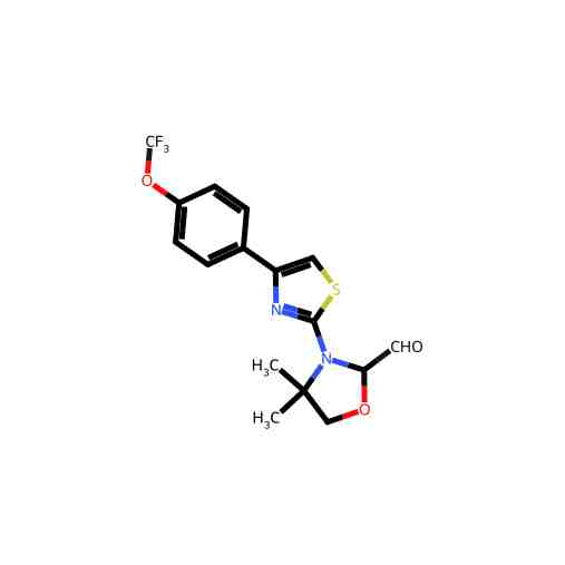 CC1(C)COC(C=O)N1c1nc(-c2ccc(OC(F)(F)F)cc2)cs1